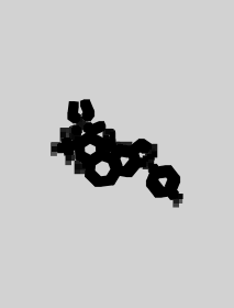 CC[Si](CC)(CC)O[C@]1(C(F)(F)F)CC[C@@]2(C(=O)O)c3cc4cnn(-c5ccc(F)cc5)c4cc3CCC[C@@H]2C1